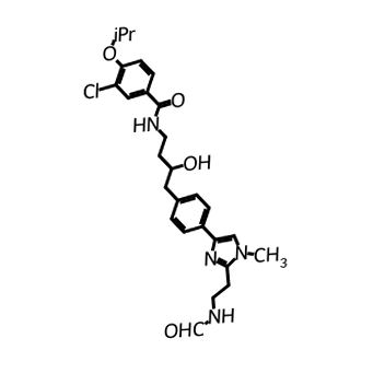 CC(C)Oc1ccc(C(=O)NCCC(O)Cc2ccc(-c3cn(C)c(CCNC=O)n3)cc2)cc1Cl